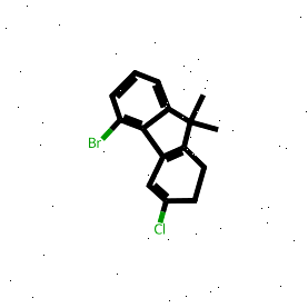 CC1(C)C2=C(C=C(Cl)CC2)c2c(Br)cccc21